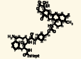 CCCCCCCC(=O)N[C@@H](Cc1ccccc1)C(=O)N[C@@H](CCCCN)C(=O)Nc1ccc(COC(=O)N[C@H]2CCc3c(C)c(F)cc4nc5c(c2c34)Cn2c-5cc3c(c2=O)COC(=O)[C@]3(O)CC)cc1